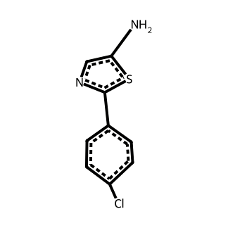 Nc1cnc(-c2ccc(Cl)cc2)s1